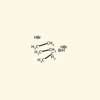 Br.Br.Br.CC.CC.CC